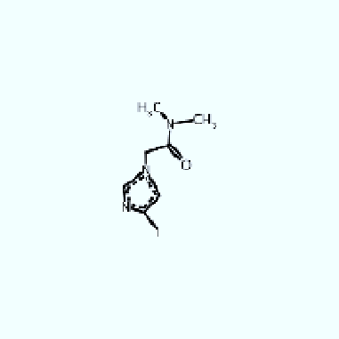 CN(C)C(=O)Cn1cnc(I)c1